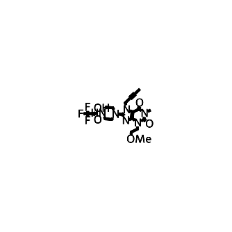 CC#CCn1c(N2CCNCC2)nc2c1c(=O)n(C)c(=O)n2CCOC.O=C(O)C(F)(F)F